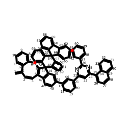 C=C1/C=C\C2=C(Sc3ccccc31)C1(c3cc(-c4cccc(-c5cc(-c6cccc7ccccc67)nc(-c6ccccc6)n5)c4)ccc32)c2ccccc2C2(c3ccccc3-c3ccccc32)c2ccccc21